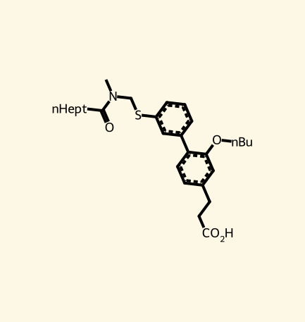 CCCCCCCC(=O)N(C)CSc1cccc(-c2ccc(CCC(=O)O)cc2OCCCC)c1